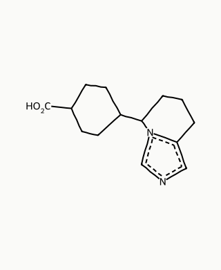 O=C(O)C1CCC(C2CCCc3cncn32)CC1